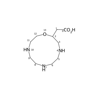 O=C(O)CC1CNCCNCCNCCO1